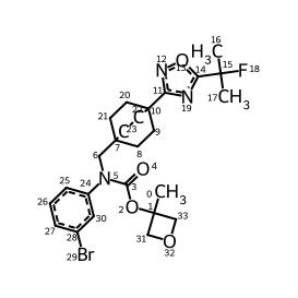 CC1(OC(=O)N(CC23CCC(c4noc(C(C)(C)F)n4)(CC2)CC3)c2cccc(Br)c2)COC1